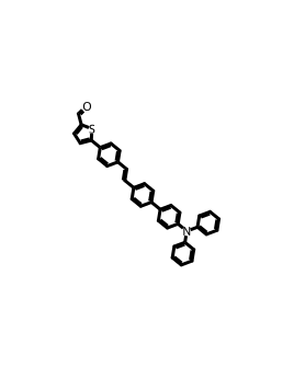 O=Cc1ccc(-c2ccc(C=Cc3ccc(-c4ccc(N(c5ccccc5)c5ccccc5)cc4)cc3)cc2)s1